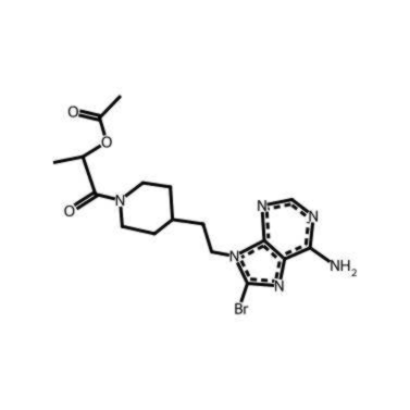 CC(=O)OC(C)C(=O)N1CCC(CCn2c(Br)nc3c(N)ncnc32)CC1